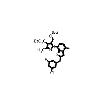 CCOC(=O)c1c(C)nn(-c2ccc(F)c3cc(Cc4cc(F)cc(Cl)c4)sc23)c1COC(C)(C)C